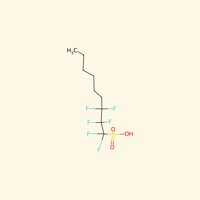 CCCCCCC(F)(F)C(F)(F)C(F)(F)S(=O)(=O)O